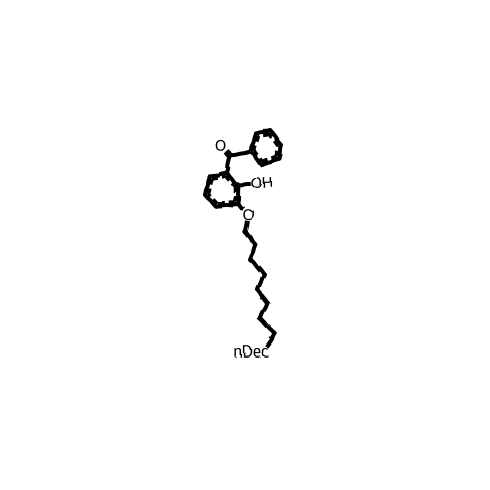 CCCCCCCCCCCCCCCCCCOc1cccc(C(=O)c2ccccc2)c1O